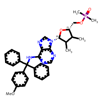 COc1ccc(C(Nc2ncnc3c2ncn3[C@@H]2O[C@H](COP(C)(C)=O)C(C)C2C)(c2ccccc2)c2ccccc2)cc1